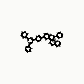 c1ccc(-c2cc(-c3ccc(-c4ccc5nc(-c6ccccc6)c6c(ccc7cccnc76)c5c4)cc3)nc(-c3ccccc3)n2)cc1